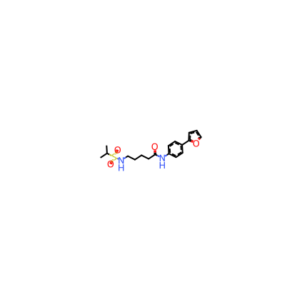 CC(C)S(=O)(=O)NCCCCC(=O)Nc1ccc(-c2ccco2)cc1